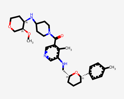 CO[C@H]1COCC[C@H]1NC1CCN(C(=O)c2cncc(NC[C@H]3CCC[C@@H](c4ccc(C)cc4)O3)c2C)CC1